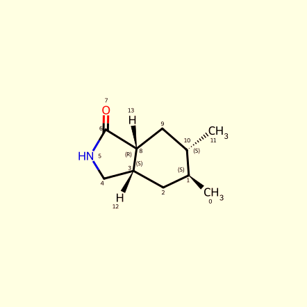 C[C@H]1C[C@@H]2CNC(=O)[C@@H]2C[C@@H]1C